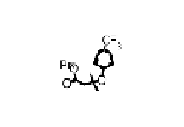 CC(C)OC(=O)CC(C)(C)Oc1ccc(C(F)(F)F)cc1